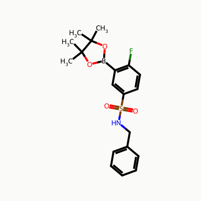 CC1(C)OB(c2cc(S(=O)(=O)NCc3ccccc3)ccc2F)OC1(C)C